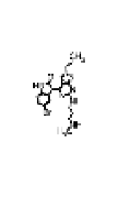 CCCn1cc2c(C3C(=O)Nc4ccc(Br)cc43)nc(NCCCNC)nc2n1